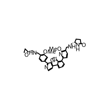 COc1cc(-c2nccc(-c3cccc(-c4ccc(CNC[C@@H]5CCC(=O)N5)c(OC)n4)c3Cl)c2Cl)ccc1CNC[C@@H]1CCO1